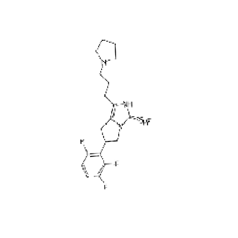 F.Fc1ccc(F)c(C2Cc3c(CCCN4CCCC4)[nH]c(=S)n3C2)c1F